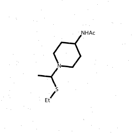 CCSC(C)N1CCC(NC(C)=O)CC1